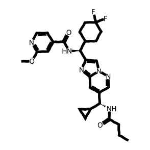 CCCC(=O)N[C@@H](c1cnn2cc([C@@H](NC(=O)c3ccnc(OC)c3)C3CCC(F)(F)CC3)nc2c1)C1CC1